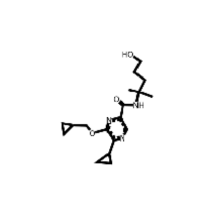 CC(C)(CCCO)NC(=O)c1cnc(C2CC2)c(OCC2CC2)n1